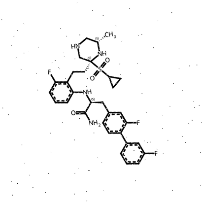 C[C@H]1CNC[C@](CCc2c(F)cccc2N[C@@H](Cc2ccc(-c3cccc(F)c3)c(F)c2)C(N)=O)(S(=O)(=O)C2CC2)N1